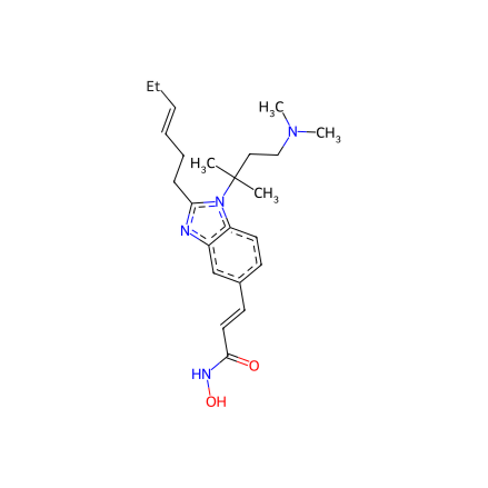 CCC=CCCc1nc2cc(C=CC(=O)NO)ccc2n1C(C)(C)CCN(C)C